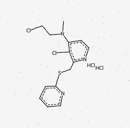 CN(CCCl)c1ccnc(CSc2ccccn2)c1Cl.Cl.Cl